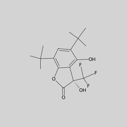 CC(C)(C)c1cc(C(C)(C)C)c2c(c1O)[C@@](O)(C(F)(F)F)C(=O)O2